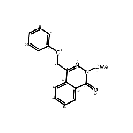 COn1nc(COc2ccccc2)c2ccccc2c1=O